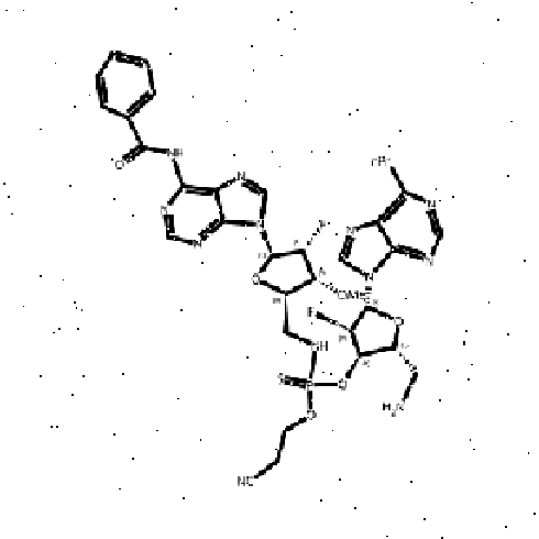 CCCc1ncnc2c1ncn2[C@@H]1O[C@H](CN)[C@@H](OP(=S)(NC[C@H]2O[C@@H](n3cnc4c(NC(=O)c5ccccc5)ncnc43)[C@H](F)[C@@H]2OC)OCCC#N)[C@H]1F